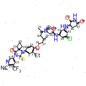 CCc1cc(N2C(=S)N(c3cnc(C#N)c(C(F)(F)F)c3)C(=O)C23CCC3)ccc1OCCC(C)C[C@@H](C)N(CC(=O)Nc1cc(Cl)cc(NC2CCC(=O)NC2=O)c1)[C@H](C)CC